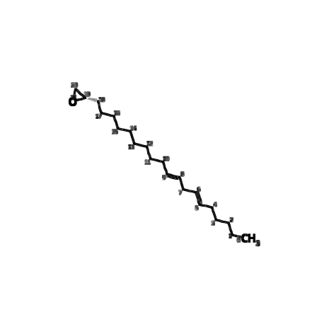 CCCCCC=CCC=CCCCCCCCCC[C@H]1CO1